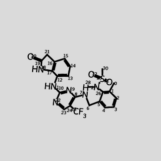 Cc1cccc(CNc2nc(Nc3cccc4c3NC(=O)C4)ncc2C(F)(F)F)c1N(C)S(C)(=O)=O